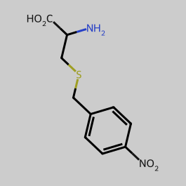 NC(CSCc1ccc([N+](=O)[O-])cc1)C(=O)O